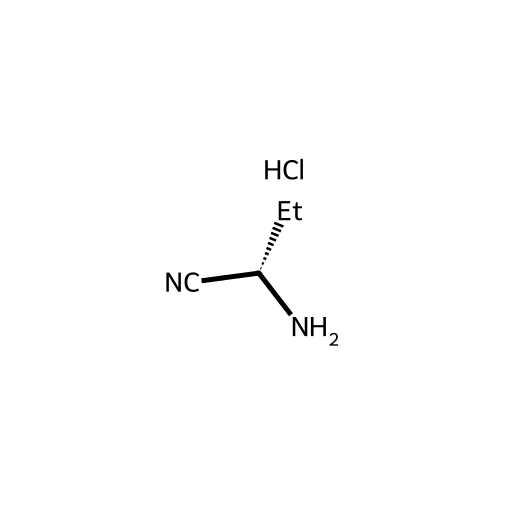 CC[C@H](N)C#N.Cl